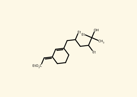 CCOC(=O)/C=C1/C=C(CC(CC)CC(CC)C(C)(O)CC)CCC1